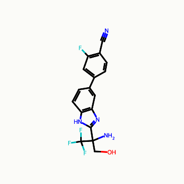 N#Cc1ccc(-c2ccc3[nH]c(C(N)(CO)C(F)(F)F)nc3c2)cc1F